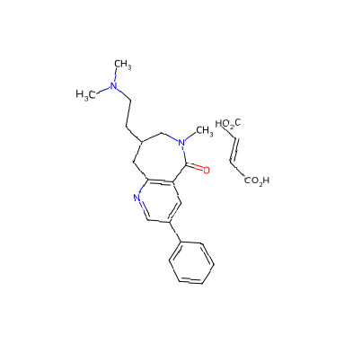 CN(C)CCC1Cc2ncc(-c3ccccc3)cc2C(=O)N(C)C1.O=C(O)C=CC(=O)O